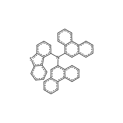 c1ccc2c(c1)cc(N(c1cc3ccccc3c3ccccc13)c1cccc3sc4ccccc4c13)c1ccccc12